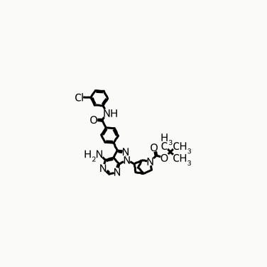 CC(C)(C)OC(=O)N1CC2CC1C(n1nc(-c3ccc(C(=O)Nc4cccc(Cl)c4)cc3)c3c(N)ncnc31)C2